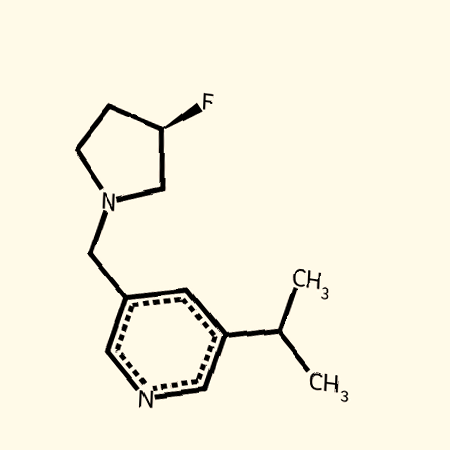 CC(C)c1cncc(CN2CC[C@@H](F)C2)c1